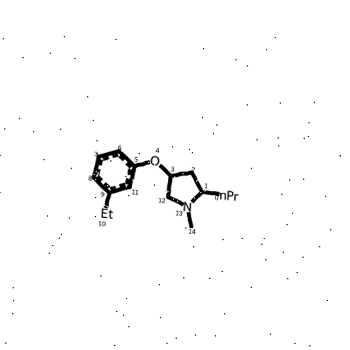 CCCC1CC(Oc2cccc(CC)c2)CN1C